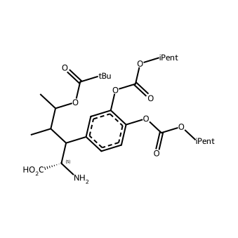 CCCC(C)OC(=O)Oc1ccc(C(C(C)C(C)OC(=O)C(C)(C)C)[C@H](N)C(=O)O)cc1OC(=O)OC(C)CCC